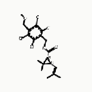 COCc1c(Cl)c(Cl)c(COC(=O)[C@@H]2[C@@H](C=C(C)C)C2(C)C)c(Cl)c1Cl